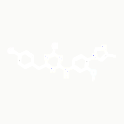 COc1cc(Nc2nc(Cl)nc(Cc3ccc(Cl)cc3)n2)ccc1-n1cnc(C)c1